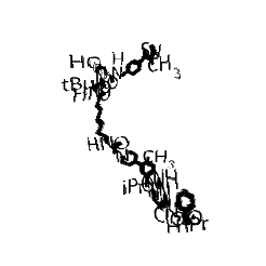 Cc1cc(Nc2ncc(Cl)c(Nc3ccccc3S(=O)(=O)C(C)C)n2)c(OC(C)C)cc1C1CCN(CC(=O)NCCCCCCC(=O)N[C@H](C(=O)N2C[C@H](O)C[C@H]2C(=O)NCc2ccc(-c3scnc3C)cc2)C(C)(C)C)CC1